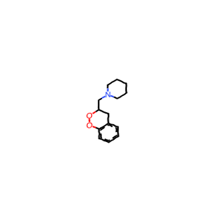 c1ccc2c(c1)CC(CN1CCCCC1)OO2